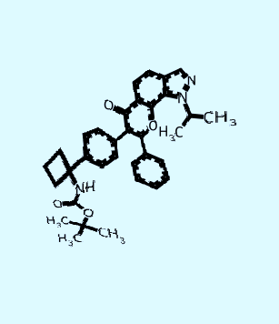 CC(C)n1ncc2ccc3c(=O)c(-c4ccc(C5(NC(=O)OC(C)(C)C)CCC5)cc4)c(-c4ccccc4)oc3c21